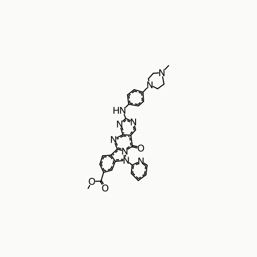 COC(=O)c1ccc2c(c1)n(-c1ccccn1)n1c(=O)c3cnc(Nc4ccc(N5CCN(C)CC5)cc4)nc3nc21